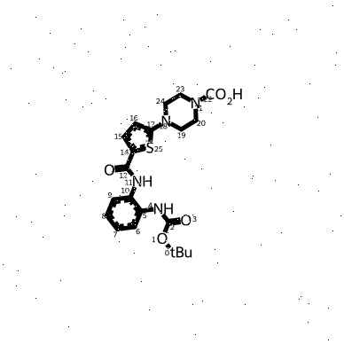 CC(C)(C)OC(=O)Nc1ccccc1NC(=O)c1ccc(N2CCN(C(=O)O)CC2)s1